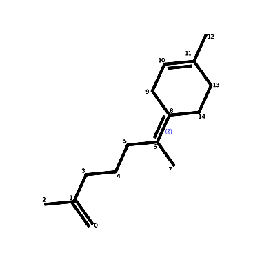 C=C(C)CCC/C(C)=C1\CC=C(C)CC1